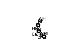 CCOc1nc(Nc2ccc(N3CCNCC3)cc2)ncc1C(=O)Nc1c(Cl)cccc1Cl